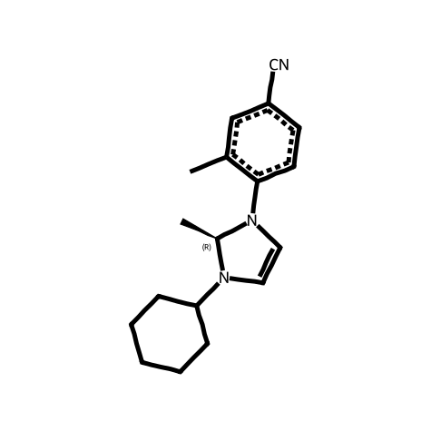 Cc1cc(C#N)ccc1N1C=CN(C2CCCCC2)[C@H]1C